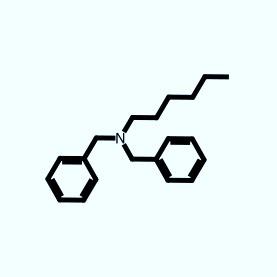 CCCCCCN(Cc1ccccc1)Cc1ccccc1